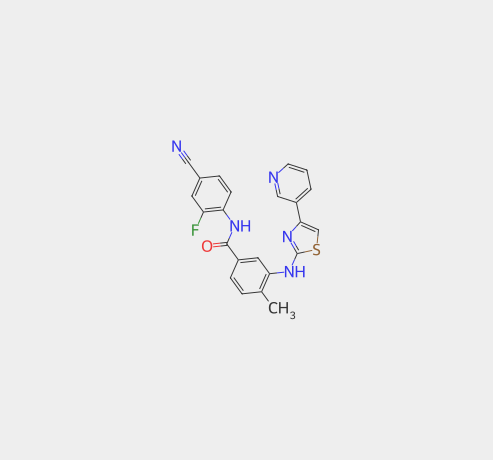 Cc1ccc(C(=O)Nc2ccc(C#N)cc2F)cc1Nc1nc(-c2cccnc2)cs1